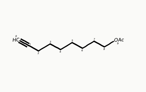 C#CCCCCCCCOC(C)=O